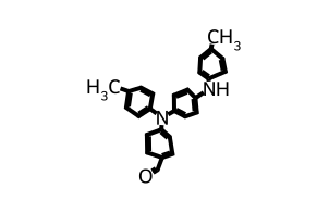 Cc1ccc(Nc2ccc(N(c3ccc(C)cc3)c3ccc(C=O)cc3)cc2)cc1